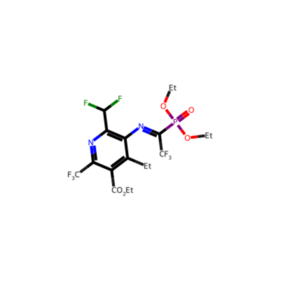 CCOC(=O)c1c(C(F)(F)F)nc(C(F)F)c(N=C(C(F)(F)F)P(=O)(OCC)OCC)c1CC